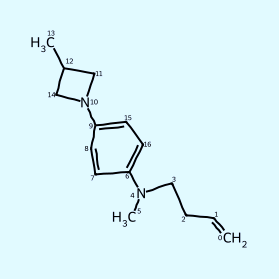 C=CCCN(C)c1ccc(N2CC(C)C2)cc1